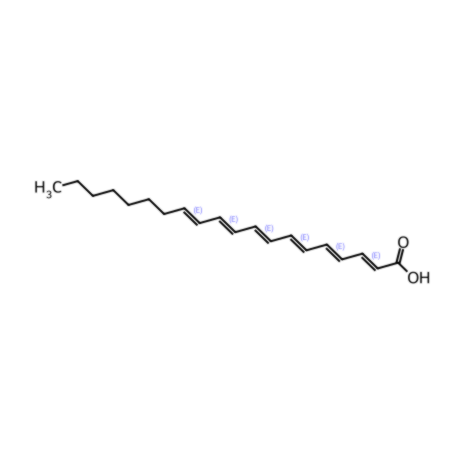 CCCCCCC/C=C/C=C/C=C/C=C/C=C/C=C/C(=O)O